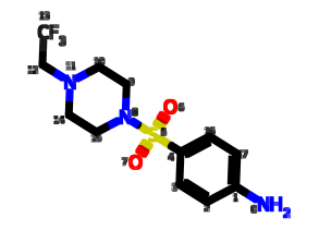 Nc1ccc(S(=O)(=O)N2CCN(CC(F)(F)F)CC2)cc1